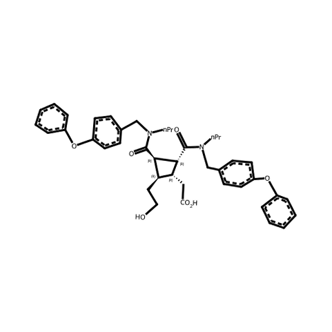 CCCN(Cc1ccc(Oc2ccccc2)cc1)C(=O)[C@@H]1[C@H](CCO)[C@@H](CC(=O)O)[C@H]1C(=O)N(CCC)Cc1ccc(Oc2ccccc2)cc1